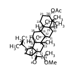 C=C(C)[C@@H]1CC[C@]2(C(=O)N(C)OC)CC[C@]3(C)[C@H](CC[C@@H]4[C@@]5(C)CC[C@H](OC(C)=O)C(C)(C)[C@@H]5CC[C@]43C)[C@@H]12